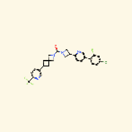 O=C(N1CC(c2ccc(-c3ccc(Cl)cc3F)cn2)C1)N1CC2(CC(c3ccc(C(F)(F)F)nc3)C2)C1